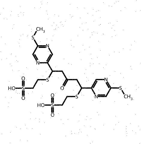 CSc1cnc(C(CC(=O)CC(SCCS(=O)(=O)O)c2cnc(SC)cn2)SCCS(=O)(=O)O)cn1